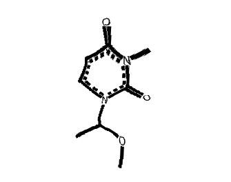 COC(C)n1ccc(=O)n(C)c1=O